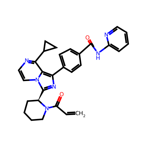 C=CC(=O)N1CCCC[C@H]1c1nc(-c2ccc(C(=O)Nc3ccccn3)cc2)c2c(C3CC3)nccn12